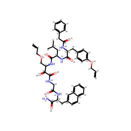 C=CCOCC(NC(=O)C(CC(C)C)NC(=O)[C@H](Cc1ccc(OCC=C)cc1)NC(=O)Cc1ccccc1)C(=O)C(=O)NCC(=O)N[C@@H](Cc1ccc2ccccc2c1)C(N)=O